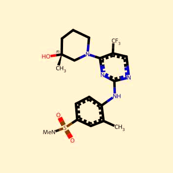 CNS(=O)(=O)c1ccc(Nc2ncc(C(F)(F)F)c(N3CCC[C@@](C)(O)C3)n2)c(C)c1